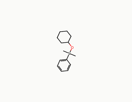 C[Si](C)(OC1CCCCC1)c1ccccc1